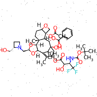 CC(=O)O[C@@]12CO[C@@H]1CC[C@@]1(C)[C@@H]3O[C@H](CN4CC[C@H]4CO)O[C@@H]3C3=C(C)[C@@H](OC(=O)[C@H](O)[C@@H](NC(=O)OC(C)(C)C)C(F)(F)F)C[C@@](O)([C@@H](OC(=O)c4ccccc4)[C@@H]12)C3(C)C